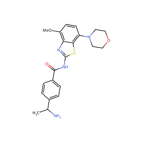 COc1ccc(N2CCOCC2)c2sc(NC(=O)c3ccc(C(C)N)cc3)nc12